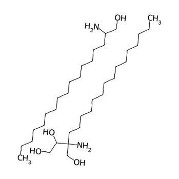 CCCCCCCCCCCCCCCC(N)(CO)C(O)CO.CCCCCCCCCCCCCCCC(N)CO